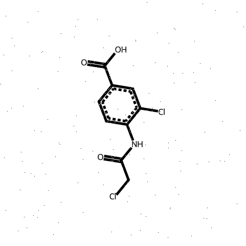 O=C(CCl)Nc1ccc(C(=O)O)cc1Cl